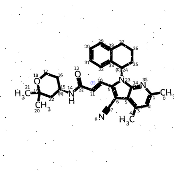 Cc1cc(C)c2c(C#N)c(/C=C/C(=O)N[C@@H]3CCOC(C)(C)C3)n([C@@H]3CCCc4ccccc43)c2n1